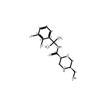 CC(C)(NC(=O)[C@@H]1CN[C@H](CO)CO1)c1cccc(F)c1Cl